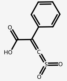 O=C(O)C(=C=S(=O)=O)c1ccccc1